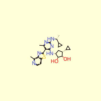 Cc1nc(N[C@H](C)C2CC2)nc(N[C@@H]2C[C@H](C3CC3)[C@@H](O)[C@H]2O)c1-c1nc2c(C)nccc2s1